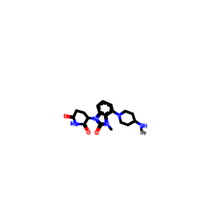 CC(C)NC1CCN(c2cccc3c2n(C)c(=O)n3C2CCC(=O)NC2=O)CC1